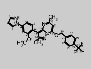 COc1cc(-n2cccn2)ccc1-c1c(C)nn2c(OCc3ccc(C(F)(F)F)cc3)cc(C)nc12